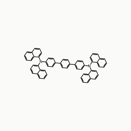 c1ccc2c(N(c3ccc(-c4ccc(-c5ccc(N(c6cccc7ccccc67)c6cccc7ccccc67)cc5)cc4)cc3)c3cccc4ccccc34)cccc2c1